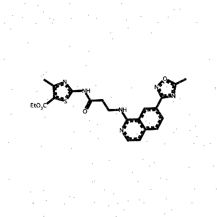 CCOC(=O)c1sc(NC(=O)CCNc2nccc3ccc(-c4noc(C)n4)cc23)nc1C